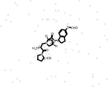 C[C@@H](CN1C[C@@H]2C[C@H]1C(=O)N2[C@@H]1CCc2cc(OC=O)ccc21)C(=O)N1CCC[C@H]1C#N